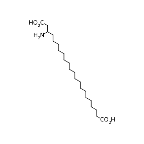 NC(CCCCCCCCCCCCCCCCCCC(=O)O)CC(=O)O